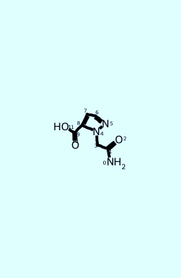 NC(=O)Cn1nccc1C(=O)O